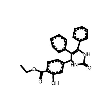 CCOC(=O)c1ccc(C2NC(=O)NC(c3ccccc3)=C2c2ccccc2)cc1O